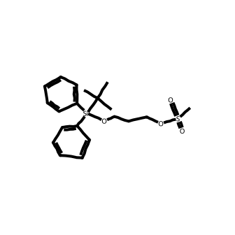 CC(C)(C)[Si](OCCCOS(C)(=O)=O)(c1ccccc1)c1ccccc1